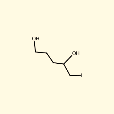 OCCCC(O)CI